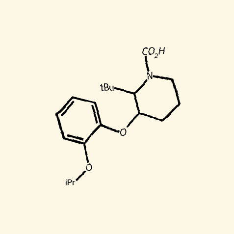 CC(C)Oc1ccccc1OC1CCCN(C(=O)O)C1C(C)(C)C